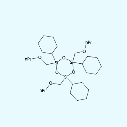 CCCOC[Si]1(C2CCCCC2)O[Si](COCCC)(C2CCCCC2)O[Si](COCCC)(C2CCCCC2)O1